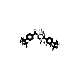 CN(CN(C)C(=O)c1ccc(C2(C(F)(F)F)N=N2)cc1)C(=O)c1ccc(C2(C(F)(F)F)N=N2)cc1